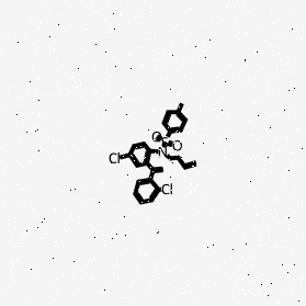 C=CCCN(c1ccc(Cl)cc1C(=C)c1ccccc1Cl)S(=O)(=O)c1ccc(C)cc1